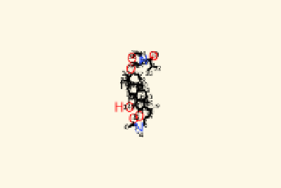 CC(=O)N(C)CC1C[C@@H](C)C2C(O1)[C@H](O)[C@@]1(C)[C@@H]3CC[C@H]4C(C)(C)C(O[C@H]5CN(C(=O)C(C)C)CCO5)CC[C@@]45C[C@@]35CC[C@]21C